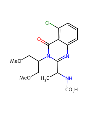 COCC(COC)n1c(C(C)NC(=O)O)nc2cccc(Cl)c2c1=O